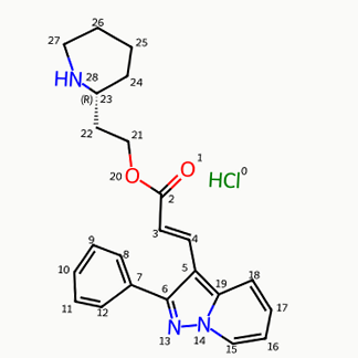 Cl.O=C(C=Cc1c(-c2ccccc2)nn2ccccc12)OCC[C@H]1CCCCN1